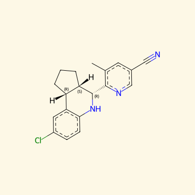 Cc1cc(C#N)cnc1[C@@H]1Nc2ccc(Cl)cc2[C@@H]2CCC[C@@H]21